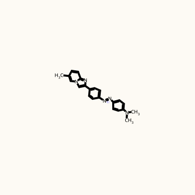 Cc1ccc2nc(-c3ccc(/N=N/c4ccc(N(C)C)cc4)cc3)cn2c1